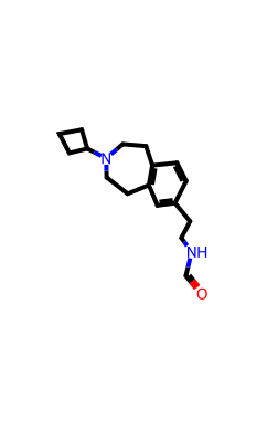 O=CNCCc1ccc2c(c1)CCN(C1CCC1)CC2